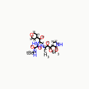 CC(NCC(NC(=O)C(=O)NC(C)(C)C)C(=O)C1CCOCC1)C(=O)[C@@H](OC(F)(F)F)[C@@H]1CCNC1=O